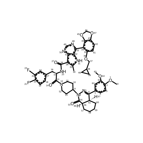 COc1ccc(C2=NN(C3CCN(C(=O)[C@@H](Cc4ccc(F)c(F)c4)NC(=O)c4c(C)[nH]c5c(-c6c(OCC7CC7)ccc7c6OCO7)ncnc45)CC3)C(=O)[C@@H]3CCCC[C@H]23)cc1OC